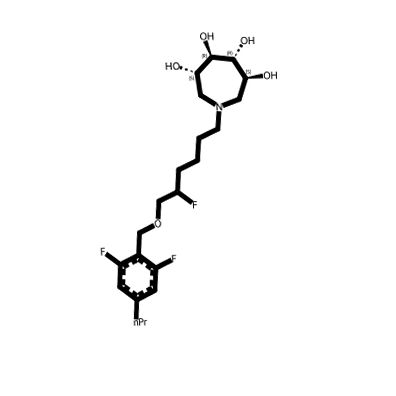 CCCc1cc(F)c(COCC(F)CCCCN2C[C@H](O)[C@@H](O)[C@H](O)[C@@H](O)C2)c(F)c1